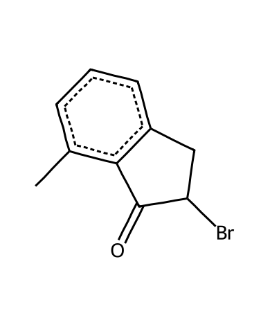 Cc1cccc2c1C(=O)C(Br)C2